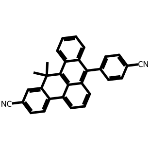 CC1(C)c2cc(C#N)ccc2-c2cccc3c(-c4ccc(C#N)cc4)c4ccccc4c1c23